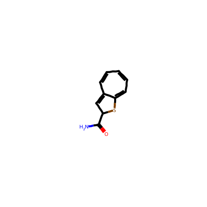 NC(=O)C1C=C2C=CC=CC=C2S1